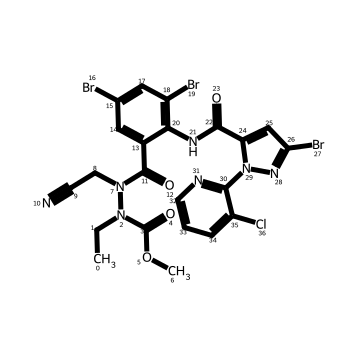 CCN(C(=O)OC)N(CC#N)C(=O)c1cc(Br)cc(Br)c1NC(=O)c1cc(Br)nn1-c1ncccc1Cl